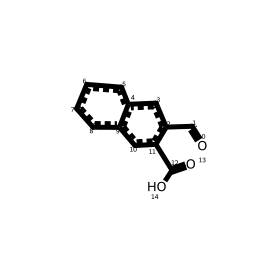 O=[C]c1cc2ccccc2cc1C(=O)O